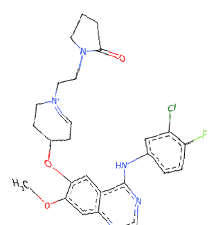 COc1cc2ncnc(Nc3ccc(F)c(Cl)c3)c2cc1OC1CC=[N+](CCN2CCCC2=O)CC1